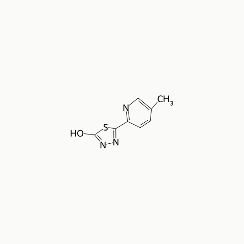 Cc1ccc(-c2nnc(O)s2)nc1